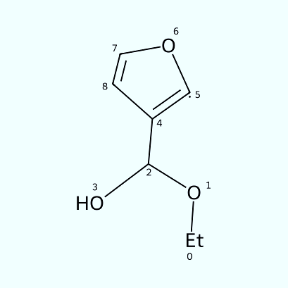 CCOC(O)c1[c]occ1